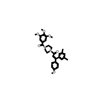 COc1ccc(/C(=C/C(=O)N2CCN(C(=O)c3cc(OC)c(OC)c(OC)c3)CC2)c2cc(C)cc(C)c2)cc1